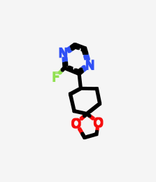 Fc1nccnc1C1CCC2(CC1)OCCO2